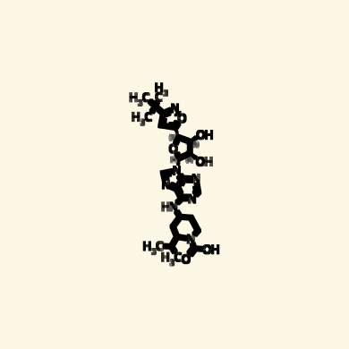 CC(C)C1CC(Nc2ncnc3c2ncn3[C@@H]2O[C@H](c3cc(C(C)(C)C)no3)[C@@H](O)[C@H]2O)CCN1C(=O)O